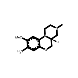 COc1cc2c(cc1N)OC[C@H]1CN(C)CCN21